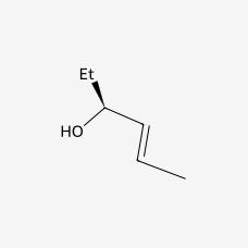 C/C=C/[C@@H](O)CC